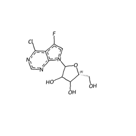 OC[C@H]1OC(n2cc(F)c3c(Cl)ncnc32)C(O)C1O